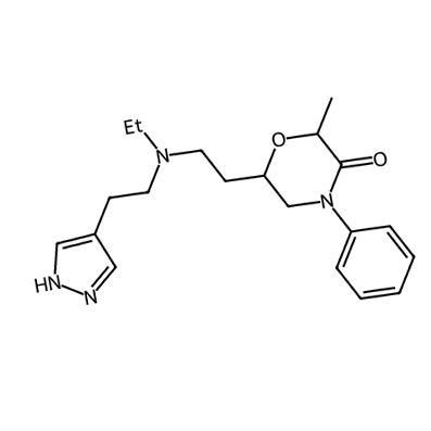 CCN(CCc1cn[nH]c1)CCC1CN(c2ccccc2)C(=O)C(C)O1